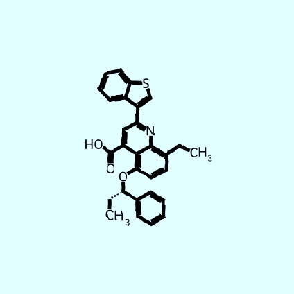 CCc1ccc(O[C@@H](CC)c2ccccc2)c2c(C(=O)O)cc(-c3csc4ccccc34)nc12